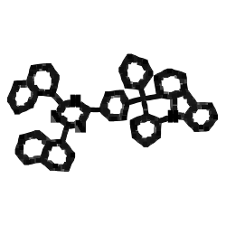 c1ccc(C2(c3ccc(-c4nc(-c5cccc6ccccc56)nc(-c5cccc6ccccc56)n4)cc3)c3ccccc3-n3c4ccccc4c4cccc2c43)cc1